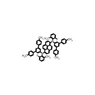 Cc1ccc(-c2cc(-c3ccc(C)cc3)cc(N(c3c(C)cccc3F)c3ccc4ccc5c(N(c6cc(-c7ccc(C)cc7)cc(-c7ccc(C)cc7)c6)c6c(C)cccc6F)ccc6ccc3c4c65)c2)cc1